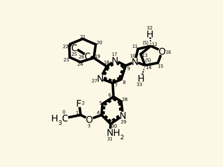 CC(F)Oc1cc(-c2cc(N3C[C@@H]4C[C@H]3CO4)nc(C34CCC(CC3)CC4)n2)cnc1N